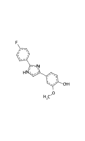 COc1cc(-c2c[nH]c(-c3ccc(F)cc3)n2)ccc1O